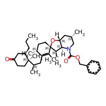 CCC[C@@H]1CC(=O)CC[C@]1(C)[C@H](C)CC1=C(C)[C@]2(CC[C@H]1C)O[C@@H]1C[C@H](C)CN(C(=O)OCc3ccccc3)[C@H]1[C@H]2C